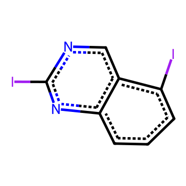 Ic1ncc2c(I)cccc2n1